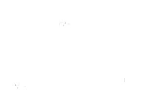 COc1cc(C)c(OC)c(/C=C/CC(=O)O)c1